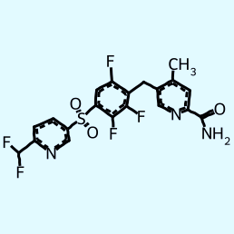 Cc1cc(C(N)=O)ncc1Cc1c(F)cc(S(=O)(=O)c2ccc(C(F)F)nc2)c(F)c1F